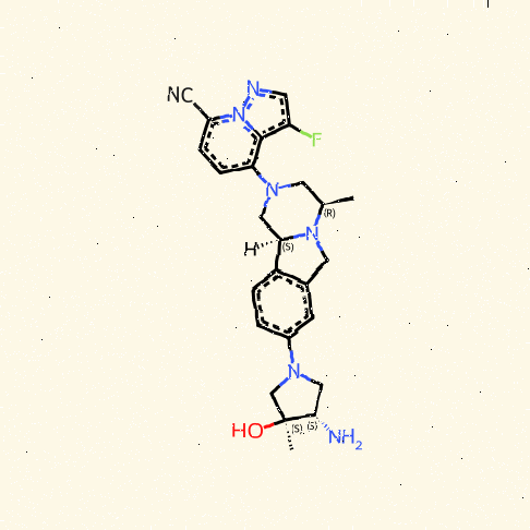 C[C@@H]1CN(c2ccc(C#N)n3ncc(F)c23)C[C@@H]2c3ccc(N4C[C@H](N)[C@@](C)(O)C4)cc3CN12